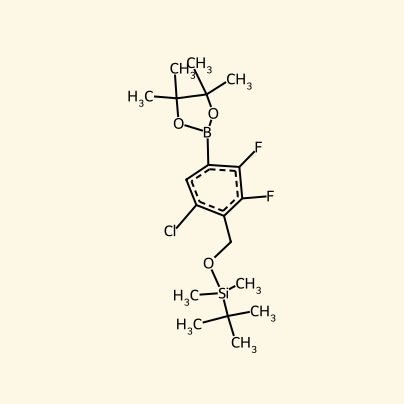 CC1(C)OB(c2cc(Cl)c(CO[Si](C)(C)C(C)(C)C)c(F)c2F)OC1(C)C